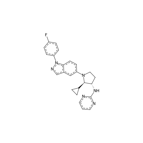 Fc1ccc(-n2ncc3cc(N4CC[C@H](Nc5ncccn5)[C@H]4C4CC4)ccc32)cc1